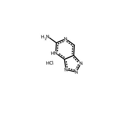 Cl.Nc1ncc2nnnc-2[nH]1